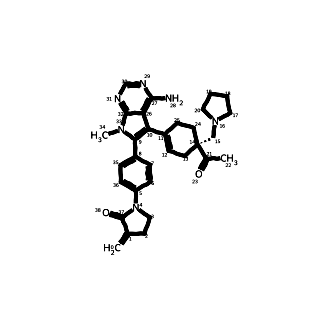 C=C1CCN(c2ccc(-c3c(C4=CC[C@](CN5CCCC5)(C(C)=O)CC4)c4c(N)ncnc4n3C)cc2)C1=O